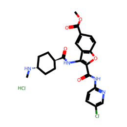 CN[C@H]1CC[C@H](C(=O)Nc2c(C(=O)Nc3ccc(Cl)cn3)oc3ccc(C(=O)OC)cc23)CC1.Cl